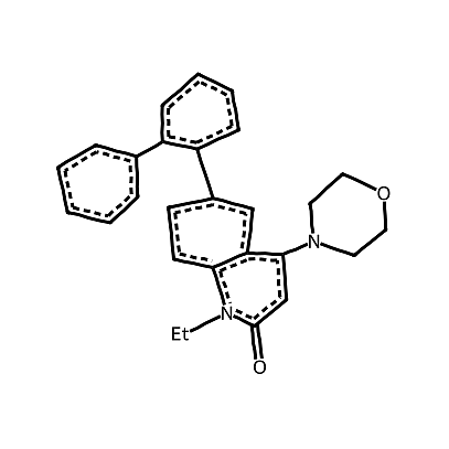 CCn1c(=O)cc(N2CCOCC2)c2cc(-c3ccccc3-c3ccccc3)ccc21